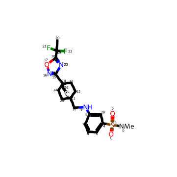 CNS(=O)(=O)c1cccc(NCC23CCC(c4noc(C(C)(F)F)n4)(CC2)CC3)c1